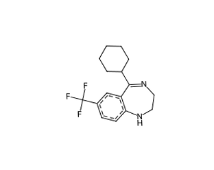 FC(F)(F)c1ccc2c(c1)C(C1CCCCC1)=NCCN2